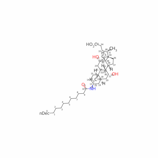 CCCCCCCCCCCCCCCCCCCC(=O)N[C@H]1CC[C@@]2(C)[C@H](C1)C[C@@H](O)[C@@H]1[C@@H]2C[C@H](O)[C@]2(C)[C@@H]([C@H](C)CCC(=O)O)CC[C@@H]12